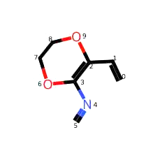 C=CC1=C(N=C)OCCO1